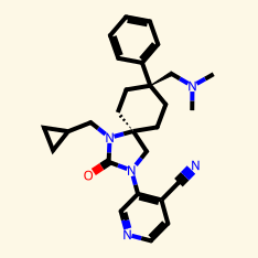 CN(C)C[C@]1(c2ccccc2)CC[C@]2(CC1)CN(c1cnccc1C#N)C(=O)N2CC1CC1